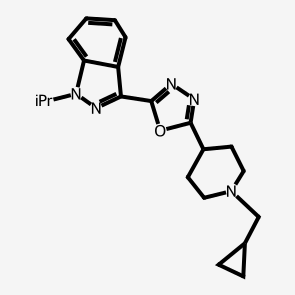 CC(C)n1nc(-c2nnc(C3CCN(CC4CC4)CC3)o2)c2ccccc21